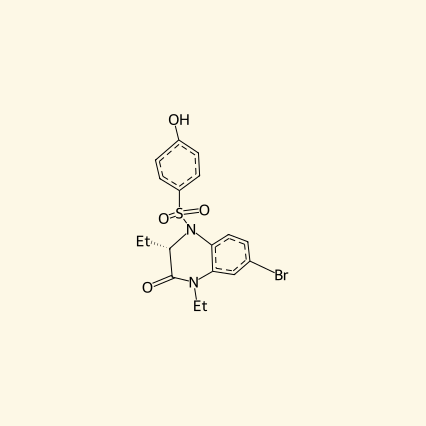 CC[C@H]1C(=O)N(CC)c2cc(Br)ccc2N1S(=O)(=O)c1ccc(O)cc1